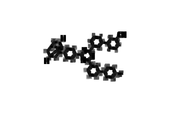 N#Cc1cccc(-c2cccc(-c3nc(-c4ccc(C56CC7C[C@H](C5)C[C@@H](C7)C6)cc4)nc(-c4cccc(-c5ccc(F)cc5)c4)n3)c2)c1